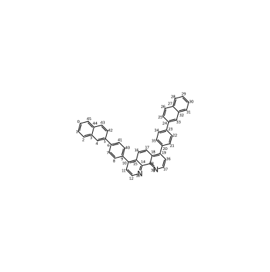 c1ccc2cc(-c3ccc(-c4ccnc5c4ccc4c(-c6ccc(-c7ccc8ccccc8c7)cc6)ccnc45)cc3)ccc2c1